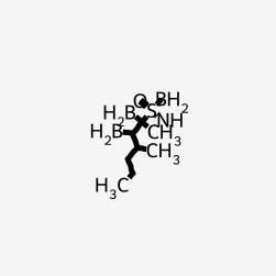 BC(C(C)CCC)C(B)(C)S(B)(=N)=O